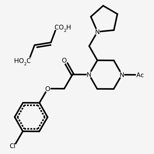 CC(=O)N1CCN(C(=O)COc2ccc(Cl)cc2)C(CN2CCCC2)C1.O=C(O)/C=C/C(=O)O